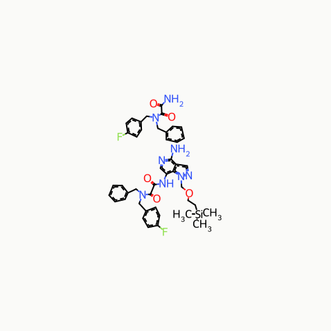 C[Si](C)(C)CCOCn1ncc2c(N)ncc(NC(=O)C(=O)N(Cc3ccccc3)Cc3ccc(F)cc3)c21.NC(=O)C(=O)N(Cc1ccccc1)Cc1ccc(F)cc1